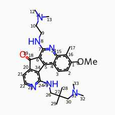 COc1ccc2c3c(c(NCCN(C)C)nc2c1C)C(=O)c1ccnc(NCC(C)(C)CN(C)C)c1-3